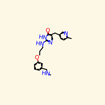 CNCc1cccc(OCCCNc2ncc(Cc3ccc(C)nc3)c(=O)[nH]2)c1